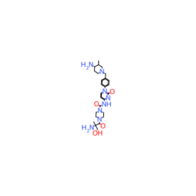 CC1CN(Cc2ccc(-n3ccc(NC(=O)N4CCN(C(=O)C(C)(N)CO)CC4)nc3=O)cc2)CCC1N